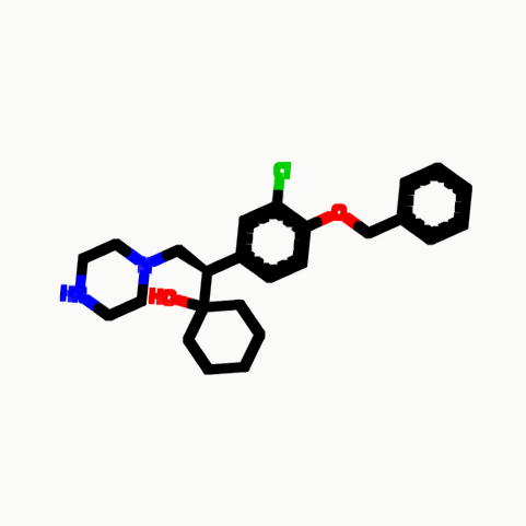 OC1([C@@H](CN2CCNCC2)c2ccc(OCc3ccccc3)c(Cl)c2)CCCCC1